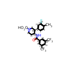 Cc1ccc([C@@H]2CN(C(=O)O)CC[C@H]2NC(=O)c2cc(C(F)(F)F)cc(C(F)(F)F)c2)cc1F